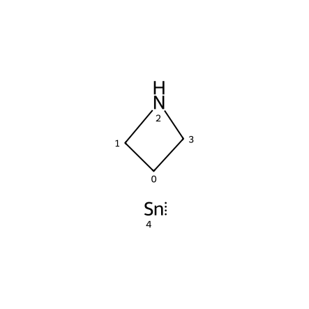 C1CNC1.[Sn]